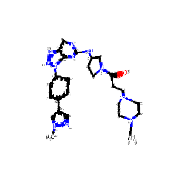 CN1CCN(CCC(=O)N2CCC(Nc3ncc4nnn(-c5ccc(-c6cnn(C)c6)cc5)c4n3)C2)CC1